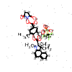 Cc1cc(C(=O)ON2C(=O)CCC2=O)cc(C)c1OC(=O)C1=[N+](C)c2ccc3ccccc3c2C1(C)C.O=S(=O)([O-])C(F)(F)F